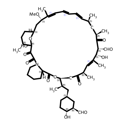 CO[C@H]1C[C@@H]2CC[C@@H](C)[C@@](O)(O2)C(=O)C(=O)N2CCCC[C@H]2C(=O)O[C@H]([C@H](C)C[C@@H]2CC[C@@H](O)[C@H](C=O)C2)CC(=O)[C@H](C)/C=C(\C)[C@@H](O)[C@@H](C=O)C(=O)[C@H](C)C[C@H](C)/C=C/C=C/C=C/1C